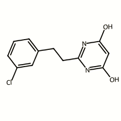 Oc1cc(O)nc(CCc2cccc(Cl)c2)n1